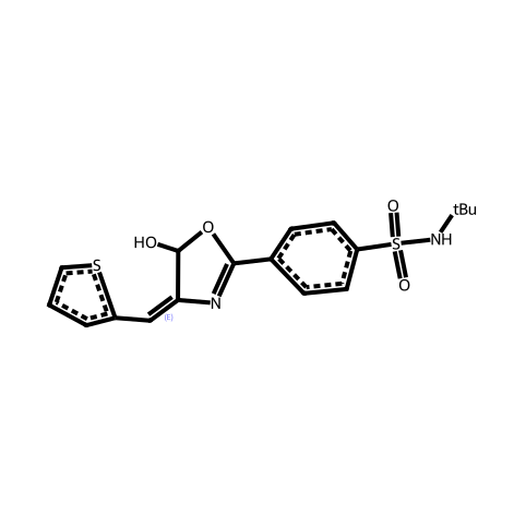 CC(C)(C)NS(=O)(=O)c1ccc(C2=N/C(=C/c3cccs3)C(O)O2)cc1